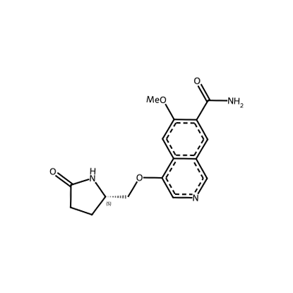 COc1cc2c(OC[C@@H]3CCC(=O)N3)cncc2cc1C(N)=O